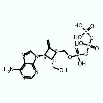 C=C1[C@@H](COP(=O)(O)OP(=O)(O)OP(=O)(O)O)[C@H](CO)[C@H]1n1cnc2c(N)ncnc21